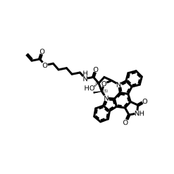 C=CC(=O)OCCCCCNC(=O)[C@@]1(O)CC2O[C@]1(C)n1c3ccccc3c3c4c(c5c6ccccc6n2c5c31)C(=O)NC4=O